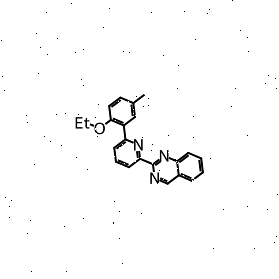 CCOc1ccc(C)cc1-c1cccc(-c2ncc3ccccc3n2)n1